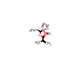 C=C(C)C(=O)OC(CCCCC)[Si](OCC)(OCC)OCC